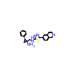 N[C@@]1(CNc2nnc(-c3ccc4cnccc4c3)s2)C[C@H]1c1ccccc1